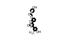 Cc1cc(-c2cc(-c3cccc(OCC(=O)N4CCC(O)CC4)c3)[nH]c(=O)n2)ccc1O